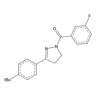 CC(C)(C)c1ccc(C2=NN(C(=O)c3cccc(F)c3)CC2)cc1